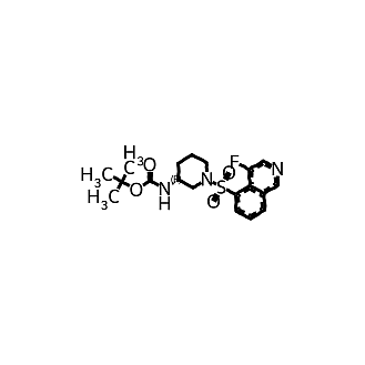 CC(C)(C)OC(=O)N[C@@H]1CCCN(S(=O)(=O)c2cccc3cncc(F)c23)C1